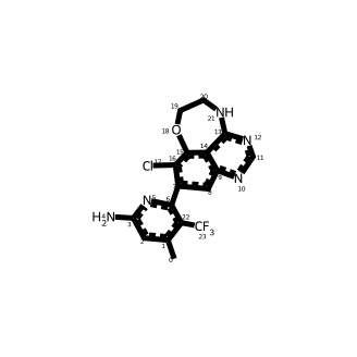 Cc1cc(N)nc(-c2cc3ncnc4c3c(c2Cl)OCCN4)c1C(F)(F)F